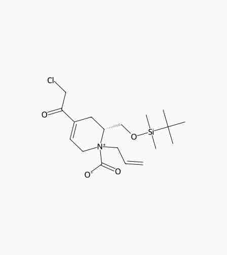 C=CC[N+]1(C(=O)[O-])CC=C(C(=O)CCl)C[C@@H]1CO[Si](C)(C)C(C)(C)C